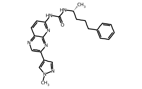 C[C@H](CCCc1ccccc1)NC(=O)Nc1ccc2ncc(-c3cnn(C)c3)nc2n1